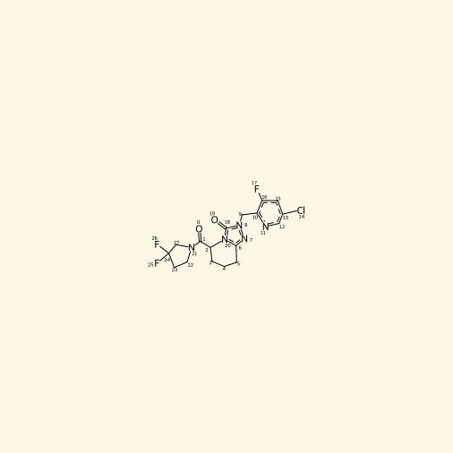 O=C(C1CCCc2nn(Cc3ncc(Cl)cc3F)c(=O)n21)N1CCC(F)(F)C1